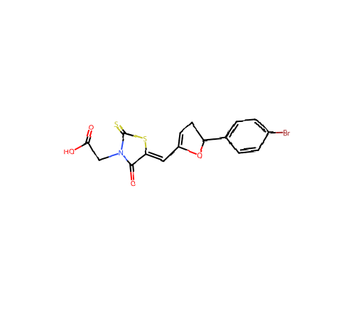 O=C(O)CN1C(=O)/C(=C/C2=CCC(c3ccc(Br)cc3)O2)SC1=S